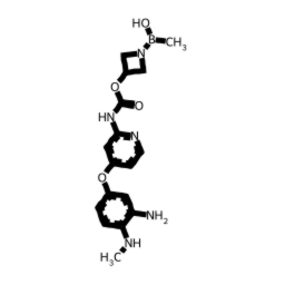 CNc1ccc(Oc2ccnc(NC(=O)OC3CN(B(C)O)C3)c2)cc1N